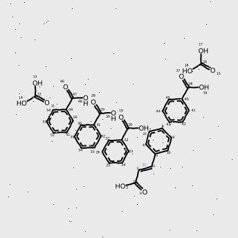 O=C(O)/C=C/c1ccccc1.O=C(O)O.O=C(O)O.O=C(O)c1ccccc1.O=C(O)c1ccccc1.O=C(O)c1ccccc1.O=C(O)c1ccccc1